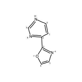 c1cc(-c2ncco2)ncn1